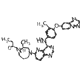 C=CC(=O)N1CCCN(c2ccc3ncnc(Nc4ccc(Oc5ccn6ncnc6c5)c(C)c4)c3n2)C[C@@H]1C